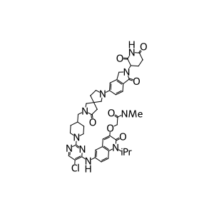 CNC(=O)COc1cc2cc(Nc3nc(N4CCC(CN5CC6(CCN(c7ccc8c(c7)CN(C7CCC(=O)NC7=O)C8=O)C6)CC5=O)CC4)ncc3Cl)ccc2n(C(C)C)c1=O